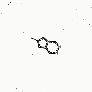 Cc1cc2cnncn2c1